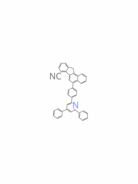 N#Cc1cccc2c1-c1cc(-c3ccc(-c4cc(-c5ccccc5)cc(-c5ccccc5)n4)cc3)c3ccccc3c1C2